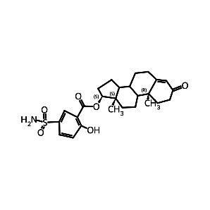 C[C@]12CCC(=O)C=C1CCC1C2CC[C@@]2(C)C1CC[C@@H]2OC(=O)c1cc(S(N)(=O)=O)ccc1O